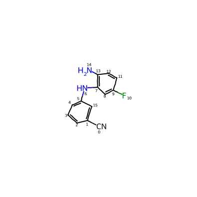 N#Cc1cccc(Nc2cc(F)ccc2N)c1